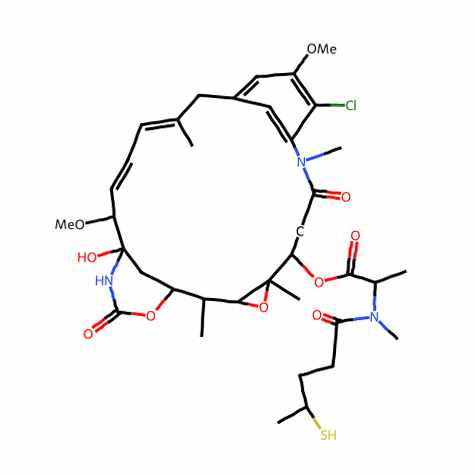 COc1cc2cc(c1Cl)N(C)C(=O)CC(OC(=O)C(C)N(C)C(=O)CCC(C)S)C1(C)OC1C(C)C1CC(O)(NC(=O)O1)C(OC)/C=C/C=C(\C)C2